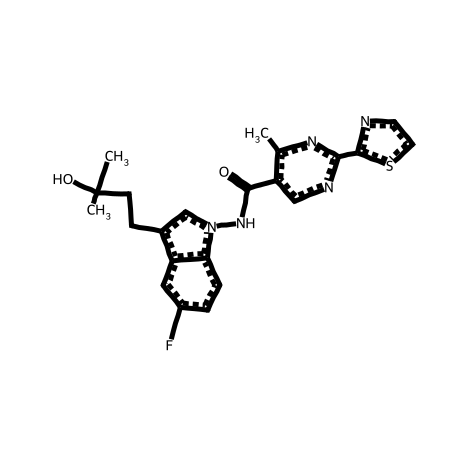 Cc1nc(-c2nccs2)ncc1C(=O)Nn1cc(CCC(C)(C)O)c2cc(F)ccc21